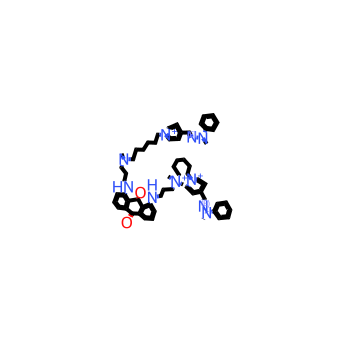 CN(CCCCCC[n+]1ccc(/C=N/N(C)c2ccccc2)cc1)CCCNc1cccc2c1C(=O)c1c(NCCC[N+](C)(C)CCCCCC[n+]3ccc(/C=N/N(C)c4ccccc4)cc3)cccc1C2=O